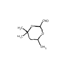 CC1CC(C)(C)OC(C=O)O1